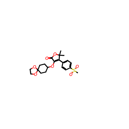 CC1(C)OC(=O)C(OC2CCC3(CC2)OCCO3)=C1c1ccc(S(C)(=O)=O)cc1